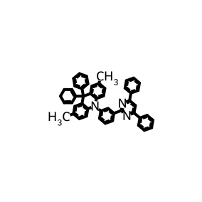 Cc1ccc2c(c1)C(C1=CCCC=C1)(c1ccccc1)c1cc(C)ccc1N2c1cccc(-c2nc(-c3ccccc3)cc(-c3ccccc3)n2)c1